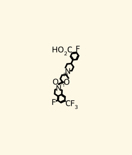 C[C@]1(C(=O)N2CCc3c(F)cc(C(F)(F)F)cc3C2)CC[C@@H](N2CCC(c3ccc(F)c(C(=O)O)c3)CC2)CO1